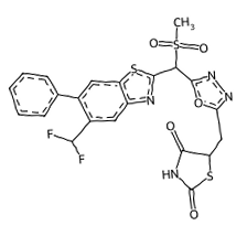 CS(=O)(=O)C(c1nnc(CC2SC(=O)NC2=O)o1)c1nc2cc(C(F)F)c(-c3ccccc3)cc2s1